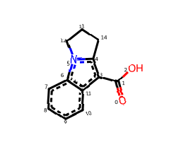 O=C(O)c1c2n(c3ccccc13)CCC2